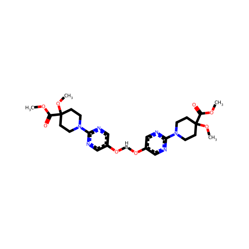 COC(=O)C1(OC)CCN(c2ncc(OBOc3cnc(N4CCC(OC)(C(=O)OC)CC4)nc3)cn2)CC1